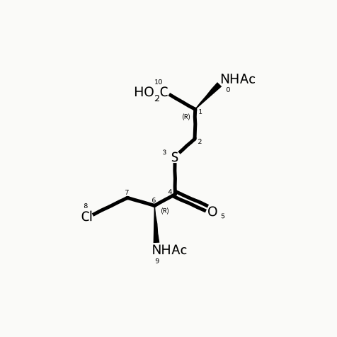 CC(=O)N[C@@H](CSC(=O)[C@H](CCl)NC(C)=O)C(=O)O